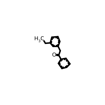 CCc1cccc(CC(=O)c2ccccc2)c1